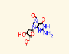 COC[C@H]1O[C@@H](N2CN(C=O)c3c2nc(N)[nH]c3=O)C[C@@H]1O